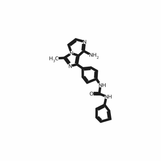 Cc1nc(-c2ccc(NC(=O)Nc3ccccc3)cc2)c2c(N)nccn12